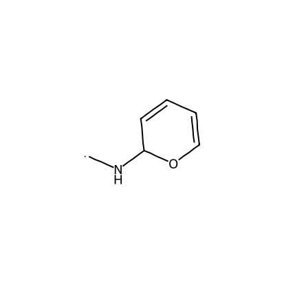 [CH2]NC1C=CC=CO1